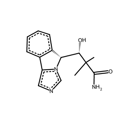 CC(C)(C(N)=O)[C@@H](O)[C@H]1c2ccccc2-c2cncn21